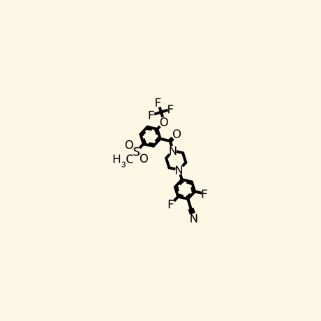 CS(=O)(=O)c1ccc(OC(F)(F)F)c(C(=O)N2CCN(c3cc(F)c(C#N)c(F)c3)CC2)c1